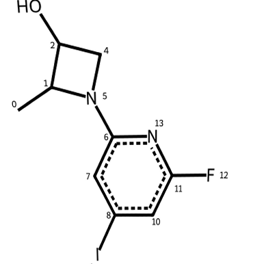 CC1C(O)CN1c1cc(I)cc(F)n1